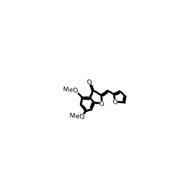 COc1cc(OC)c2c(c1)O/C(=C\c1ccco1)C2=O